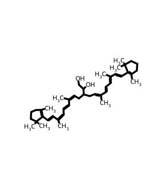 CC(C=CC1=C(C)CCCC1(C)C)=CC=CC(C)=CC[C](CC=C(C)C=CC=C(C)C=CC1=C(C)CCCC1(C)C)C(O)CO